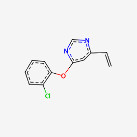 C=Cc1cc(Oc2ccccc2Cl)ncn1